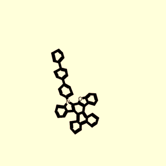 c1ccc(-c2ccc(-c3ccc(-n4c5ccccc5c5c6c7ccccc7c7ccccc7c6c6c7ccccc7oc6c54)cc3)cc2)cc1